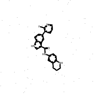 O=C(Nc1ccc2c(c1)CCCN2)c1c[nH]c2ccc(-c3cccnc3F)cc12